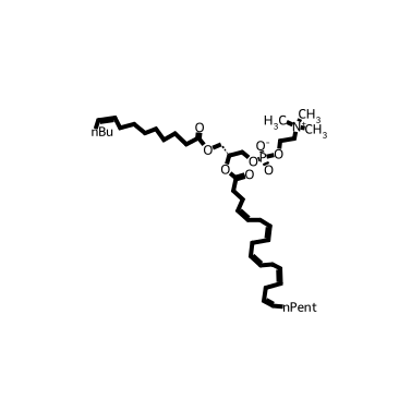 CCCC/C=C\CCCCCCCC(=O)OC[C@H](COP(=O)([O-])OCC[N+](C)(C)C)OC(=O)CC/C=C\C/C=C\C/C=C\C/C=C\C/C=C\CCCCC